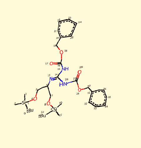 CC(C)(C)[Si](C)(C)OCC(CO[Si](C)(C)C(C)(C)C)N=C(NC(=O)OCc1ccccc1)NC(=O)OCc1ccccc1